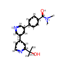 CN(C)C(=O)c1ccc(-c2cncc(-c3ccnc(C(C)(C)O)c3)c2)cc1